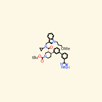 COCCCn1cc(CN(C(=O)[C@H]2CN(C(=O)OC(C)(C)C)CC[C@@H]2c2cccc(-c3cccc(-c4nn[nH]n4)c3)c2)C2CC2)c2ccccc21